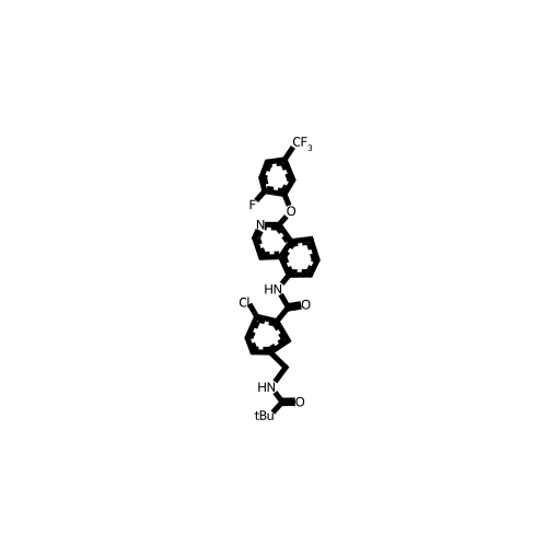 CC(C)(C)C(=O)NCc1ccc(Cl)c(C(=O)Nc2cccc3c(Oc4cc(C(F)(F)F)ccc4F)nccc23)c1